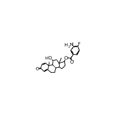 CC12C=CC(=O)C=C1CCC1C2C(O)CC2(C)C(OC(=O)c3ccc(F)c(N)c3)CCC12